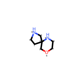 C1CC2(CN1)COCCN2